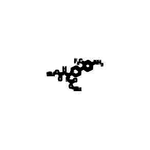 CC(C)(C)OC(=O)/N=C(/NC(=O)OC(C)(C)C)N1CC=C(c2ccc(N)cc2C(F)(F)F)CC1